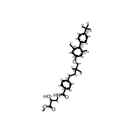 COC(=O)C(O)CNC(=O)c1ccc(CCC(C)(C)COc2cc(C)c(-c3ccc(C(C)(C)C)cc3)c(C)c2)cc1